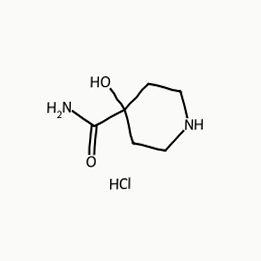 Cl.NC(=O)C1(O)CCNCC1